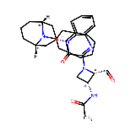 CC(=O)N[C@@H]1CN(c2nc3ccccc3n([C@H]3C[C@H]4CCC[C@@H](C3)N4C3CC4CCCCC(C4)C3)c2=O)[C@@H]1C=O